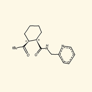 CC(C)(C)C(=O)[C@H]1CCCC[C@H]1C(=O)NCc1ccccn1